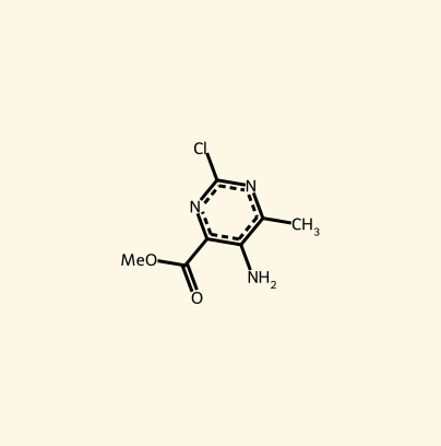 COC(=O)c1nc(Cl)nc(C)c1N